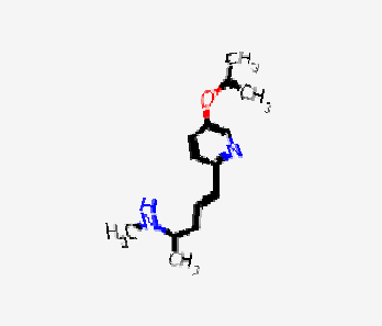 CNC(C)CC=Cc1ccc(OC(C)C)cn1